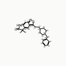 CC1(C)C(=O)Nc2cc3noc(CCC4CCN(Cc5ccccc5)CC4)c3cc21